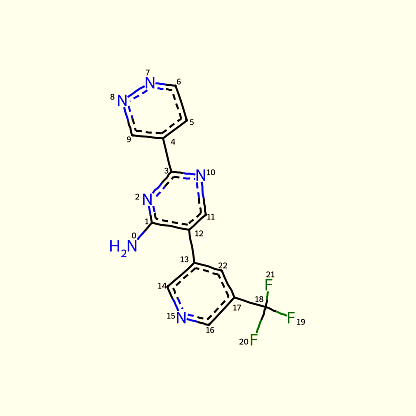 Nc1nc(-c2ccnnc2)ncc1-c1cncc(C(F)(F)F)c1